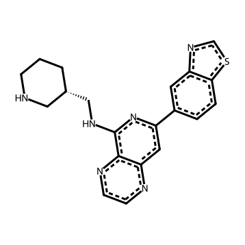 c1cnc2c(NC[C@H]3CCCNC3)nc(-c3ccc4scnc4c3)cc2n1